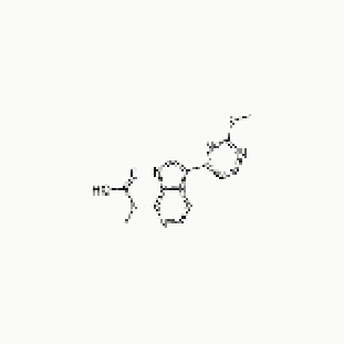 CSc1nccc(-c2cnc3c(N(C)C(=O)O)nccn23)n1